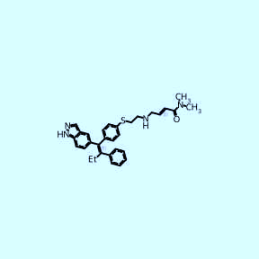 CC/C(=C(/c1ccc(SCCNC/C=C/C(=O)N(C)C)cc1)c1ccc2[nH]ncc2c1)c1ccccc1